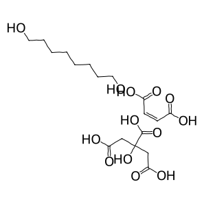 O=C(O)/C=C\C(=O)O.O=C(O)CC(O)(CC(=O)O)C(=O)O.OCCCCCCCCO